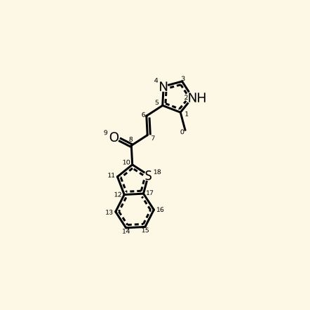 Cc1[nH]cnc1/C=C/C(=O)c1cc2ccccc2s1